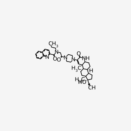 C#C[C@]1(O)CCC2[C@@H]3CCC4NC(=O)C(N5CCN(C(=O)CN(CCC)C(=O)c6ccc7ccccc7n6)CC5)=C[C@]4(C)C3CC[C@@]21C